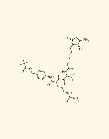 CC(C)C(NC(=O)CCCCCN1C(=O)CC(P)C1=O)C(=O)NC(CCCNC(N)=O)C(=O)Nc1ccc(COC(=O)C(C)(C)C)cc1